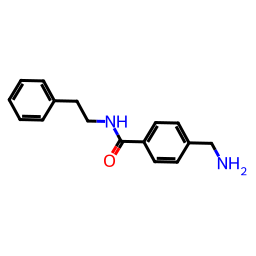 NCc1ccc(C(=O)NCCc2ccccc2)cc1